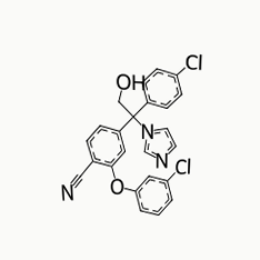 N#Cc1ccc(C(CO)(c2ccc(Cl)cc2)n2ccnc2)cc1Oc1cccc(Cl)c1